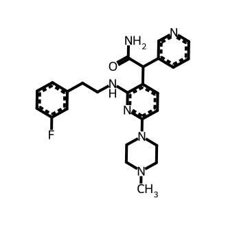 CN1CCN(c2ccc(C(C(N)=O)c3cccnc3)c(NCCc3cccc(F)c3)n2)CC1